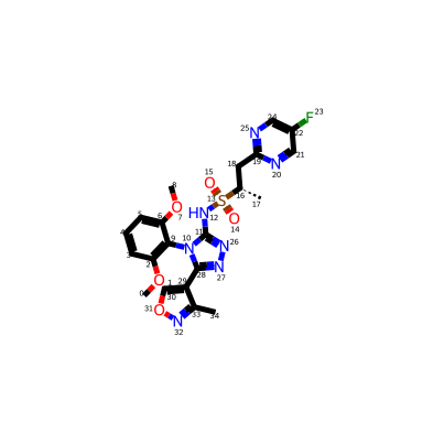 COc1cccc(OC)c1-n1c(NS(=O)(=O)[C@@H](C)Cc2ncc(F)cn2)nnc1-c1conc1C